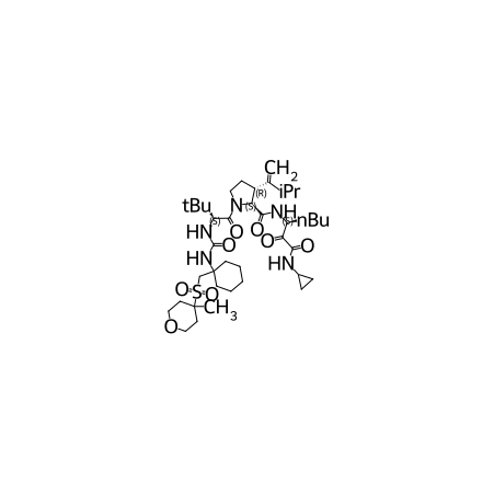 C=C(C(C)C)[C@H]1CCN(C(=O)[C@@H](NC(=O)NC2(CS(=O)(=O)C3(C)CCOCC3)CCCCC2)C(C)(C)C)[C@@H]1C(=O)N[C@@H](CCCC)C(=O)C(=O)NC1CC1